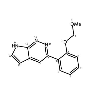 COCOc1ccccc1-c1cc2cc[nH]c2nn1